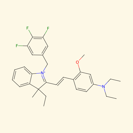 CCN(CC)c1ccc(/C=C/C2=[N+](Cc3cc(F)c(F)c(F)c3)c3ccccc3C2(C)CC)c(OC)c1